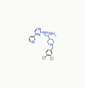 NC(CNc1nccc(-c2cccnc2)n1)C1CCN(Cc2ccc(Cl)c(Cl)c2)CC1